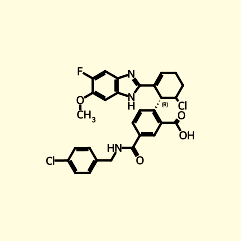 COc1cc2[nH]c(C3=CCCC(Cl)[C@@H]3c3ccc(C(=O)NCc4ccc(Cl)cc4)cc3C(=O)O)nc2cc1F